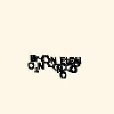 CC[C@@]1(O)C(=O)OCc2c1cc1n(c2=O)Cc2cc3c([N+](=O)[O-])c(Br)ccc3nc2-1